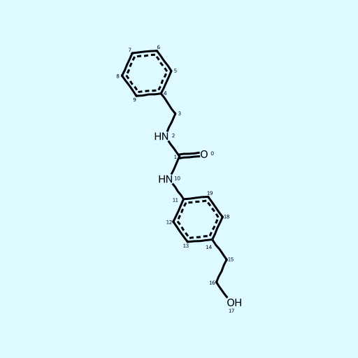 O=C(NCc1ccccc1)Nc1ccc(CCO)cc1